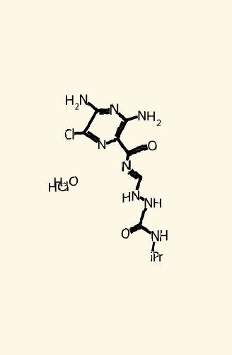 CC(C)NC(=O)NNC=NC(=O)c1nc(Cl)c(N)nc1N.Cl.O